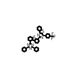 FC(F)(F)c1ccc(-c2nc(-c3cccc4c3sc3cccc(-c5nc(-c6ccccc6)nc(-c6ccccc6)n5)c34)nc3c2sc2ccccc23)cc1